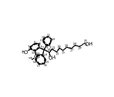 COc1cccc(C(c2ccccc2)(c2ccccc2)C(O)CCCCCCCCCO)c1OC